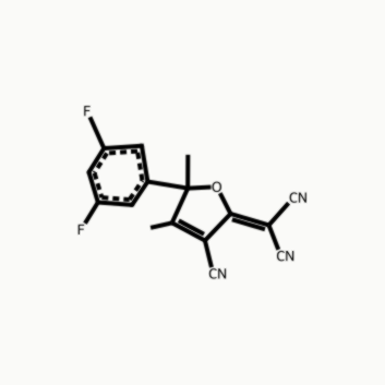 CC1=C(C#N)C(=C(C#N)C#N)OC1(C)c1cc(F)cc(F)c1